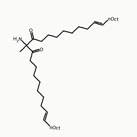 CCCCCCCCC=CCCCCCCCC(=O)C(C)(N)C(=O)CCCCCCCC=CCCCCCCCC